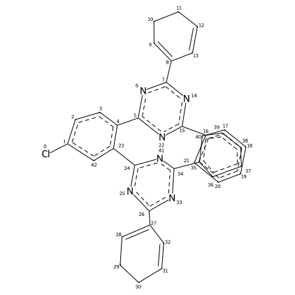 Clc1ccc(-c2nc(C3=CCCC=C3)nc(-c3ccccc3)n2)c(-c2nc(C3=CCCC=C3)nc(-c3ccccc3)n2)c1